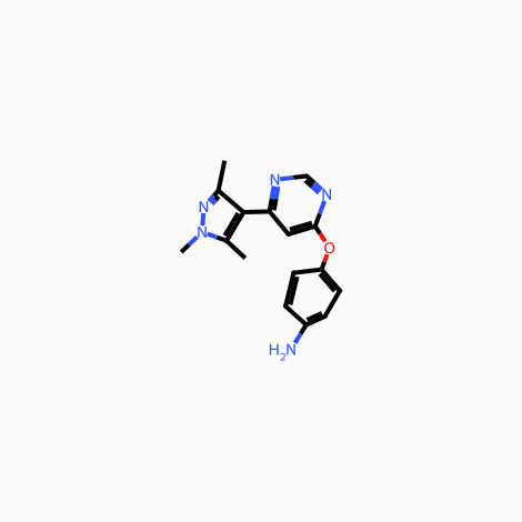 Cc1nn(C)c(C)c1-c1cc(Oc2ccc(N)cc2)ncn1